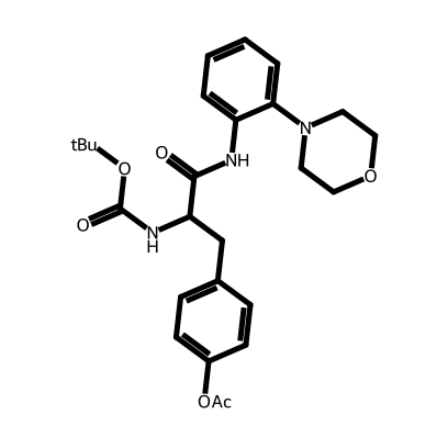 CC(=O)Oc1ccc(CC(NC(=O)OC(C)(C)C)C(=O)Nc2ccccc2N2CCOCC2)cc1